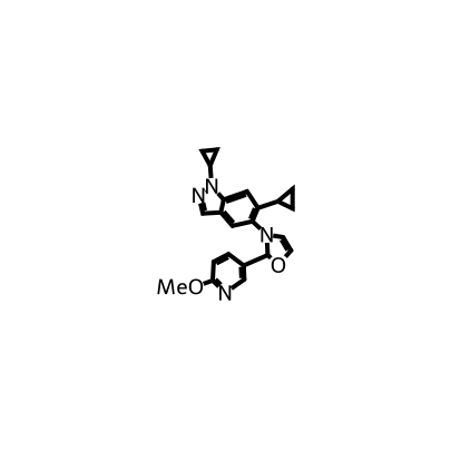 COc1ccc(C2OC=CN2c2cc3cnn(C4CC4)c3cc2C2CC2)cn1